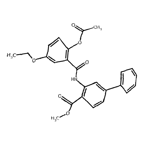 CCOc1ccc(OC(C)=O)c(C(=O)Nc2cc(-c3ccccc3)ccc2C(=O)OC)c1